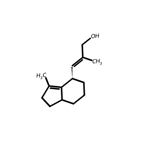 CC1=C2C(CCC[C@H]2/C=C(\C)CO)CC1